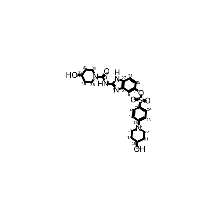 O=C(Nc1nc2cc(OS(=O)(=O)c3ccc(N4CCC(O)CC4)cc3)ccc2[nH]1)N1CCC(O)CC1